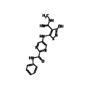 CNC(=N)c1c(O)nsc1Nc1cnc(C(=O)Nc2ccccc2)nc1